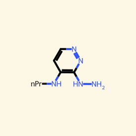 CCCNc1ccnnc1NN